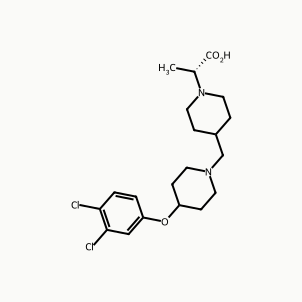 C[C@H](C(=O)O)N1CCC(CN2CCC(Oc3ccc(Cl)c(Cl)c3)CC2)CC1